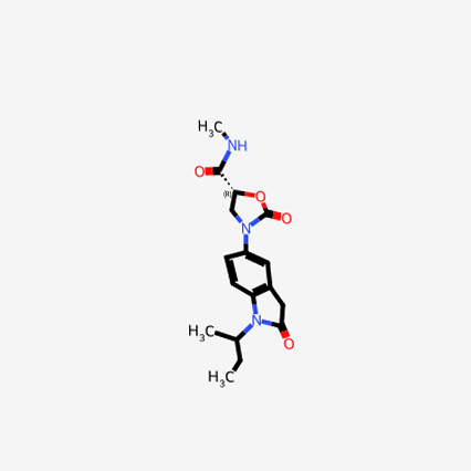 CCC(C)N1C(=O)Cc2cc(N3C[C@H](C(=O)NC)OC3=O)ccc21